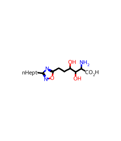 CCCCCCCc1noc(CCC(O)C(O)C(N)C(=O)O)n1